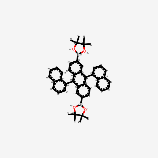 CC1(C)OB(c2ccc3c(-c4cccc5ccccc45)c4cc(B5OC(C)(C)C(C)(C)O5)ccc4c(-c4cccc5ccccc45)c3c2)OC1(C)C